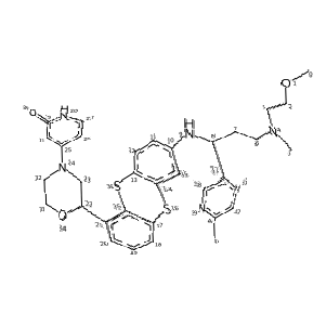 COCCN(C)CCC(Nc1ccc2c(c1)Sc1cccc(C3CN(c4cc[nH]c(=O)c4)CCO3)c1S2)c1cnc(C)cn1